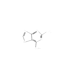 CNc1nc(C)nc2c1NC=[N+]2